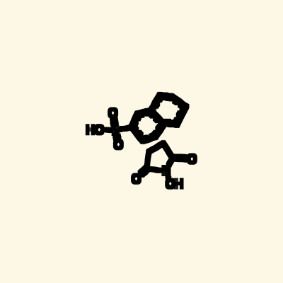 O=C1CCC(=O)N1O.O=S(=O)(O)c1ccc2ccccc2c1